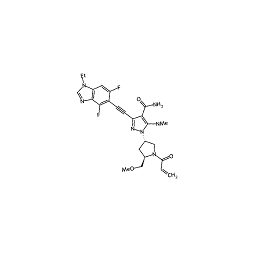 C=CC(=O)N1C[C@@H](n2nc(C#Cc3c(F)cc4c(ncn4CC)c3F)c(C(N)=O)c2NC)C[C@@H]1COC